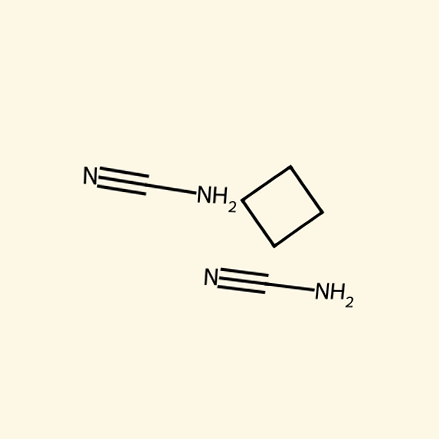 C1CCC1.N#CN.N#CN